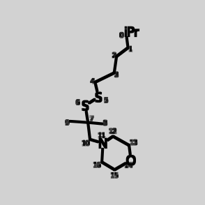 CC(C)CCCCSSC(C)(C)CN1CCOCC1